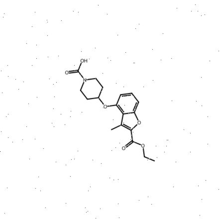 CCOC(=O)c1oc2cccc(OC3CCN(C(=O)O)CC3)c2c1C